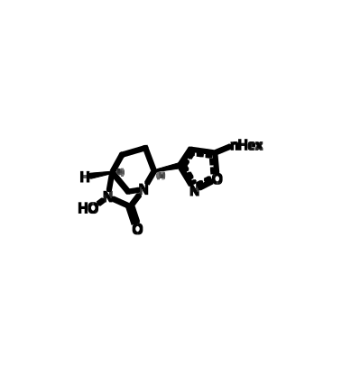 CCCCCCc1cc([C@@H]2CC[C@@H]3CN2C(=O)N3O)no1